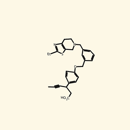 CC#CC(CC(=O)O)c1ccc(OCc2cccc(CN3CCc4nc(CC)sc4C3)c2)cc1